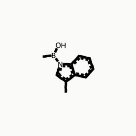 CB(O)n1cc(C)c2ccccc21